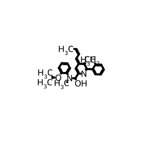 C=c1c(-c2ccccc2C)nc(C(O)N(C)c2ccccc2OC(C)C)c/c1=C/C=C\C